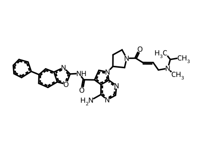 CC(C)N(C)CC=CC(=O)N1CCC(n2cc(C(=O)Nc3nc4cc(-c5ccccc5)ccc4o3)c3c(N)ncnc32)C1